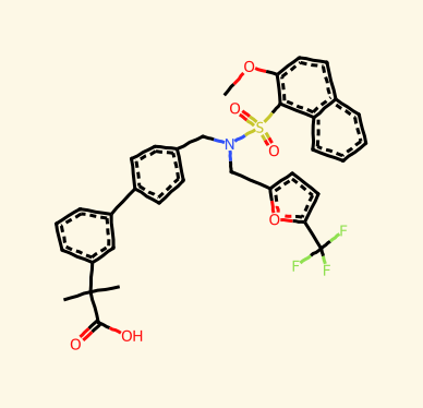 COc1ccc2ccccc2c1S(=O)(=O)N(Cc1ccc(-c2cccc(C(C)(C)C(=O)O)c2)cc1)Cc1ccc(C(F)(F)F)o1